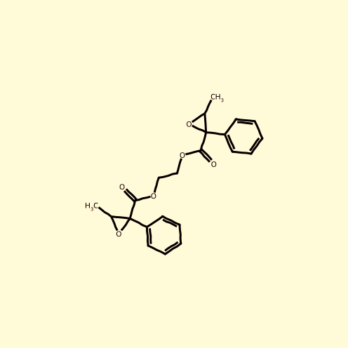 CC1OC1(C(=O)OCCOC(=O)C1(c2ccccc2)OC1C)c1ccccc1